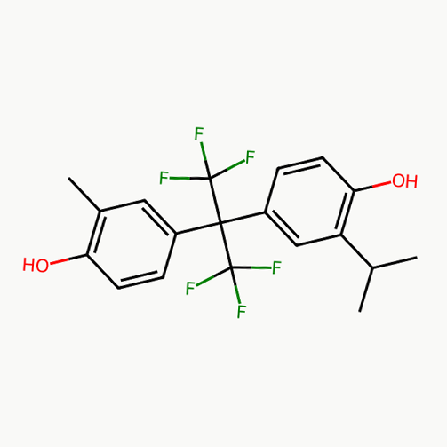 Cc1cc(C(c2ccc(O)c(C(C)C)c2)(C(F)(F)F)C(F)(F)F)ccc1O